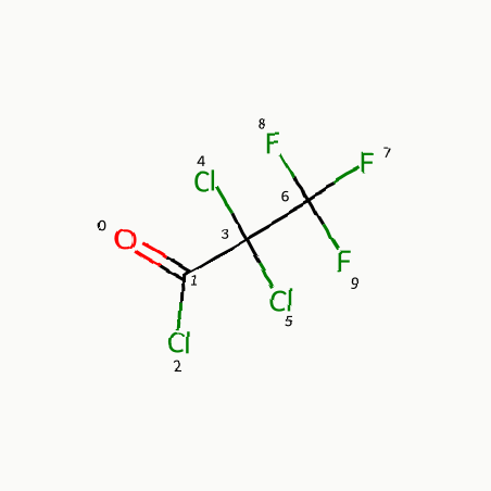 O=C(Cl)C(Cl)(Cl)C(F)(F)F